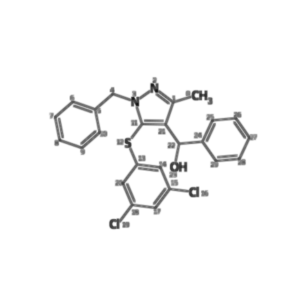 Cc1nn(Cc2ccccc2)c(Sc2cc(Cl)cc(Cl)c2)c1C(O)c1ccccc1